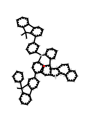 CC1(C)c2ccccc2-c2cccc(-c3cccc(N(c4ccc(-c5ccc6c(c5)C(C)(c5ccccc5)c5ccccc5-6)cc4)c4ccccc4-c4cccc5oc6c7ccccc7ccc6c45)c3)c21